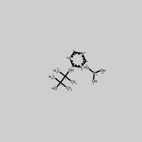 CC(C)(O)C(C)(C)O.OB(O)O.c1ncncn1